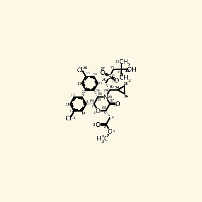 COC(=O)C[C@@H]1O[C@H](c2cccc(Cl)c2)[C@H](c2ccc(Cl)cc2)N([C@H](CS(=O)(=O)CC(C)(C)O)C2CC2)C1=O